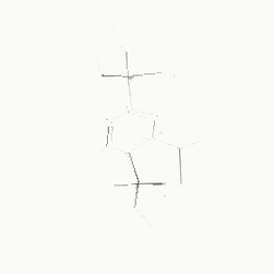 CCC(C)(C)c1cnc(C(C)(CC)CC)nc1C(F)F